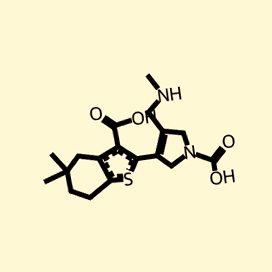 CNCC1=C(c2sc3c(c2C(=O)O)CC(C)(C)CC3)CN(C(=O)O)C1